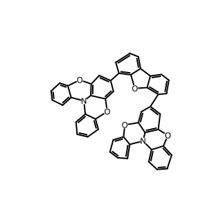 c1ccc2c(c1)Oc1cc(-c3cccc4c3oc3c(-c5cc6c7c(c5)Oc5ccccc5N7c5ccccc5O6)cccc34)cc3c1N2c1ccccc1O3